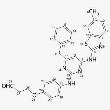 Cc1ccc2nc(Nc3cc(Cc4ccccc4)nc(Nc4ccc(OCCC=O)cc4)n3)sc2c1